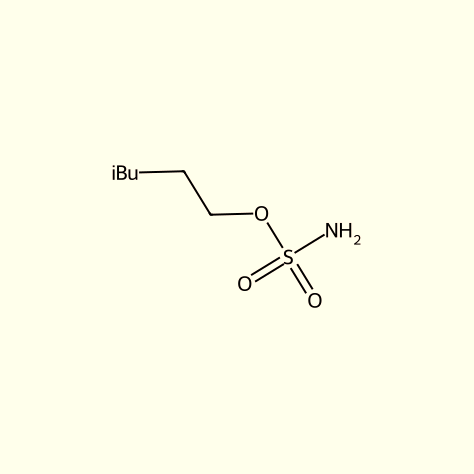 CCC(C)CCOS(N)(=O)=O